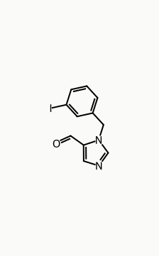 O=Cc1cncn1Cc1cccc(I)c1